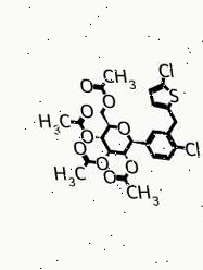 CC(=O)OC[C@H]1O[C@@H](c2ccc(Cl)c(Cc3ccc(Cl)s3)c2)[C@H](OC(C)=O)[C@@H](OC(C)=O)[C@@H]1OC(C)=O